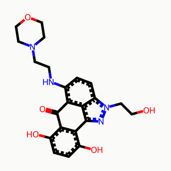 O=C1c2c(O)ccc(O)c2-c2nn(CCO)c3ccc(NCCN4CCOCC4)c1c23